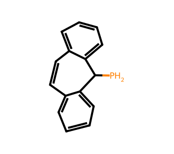 PC1c2ccccc2C=Cc2ccccc21